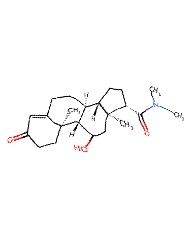 CN(C)C(=O)[C@H]1CC[C@H]2[C@@H]3CCC4=CC(=O)CC[C@]4(C)[C@H]3C(O)C[C@]12C